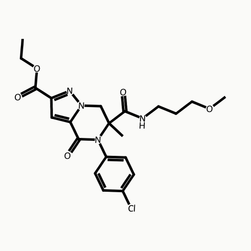 CCOC(=O)c1cc2n(n1)CC(C)(C(=O)NCCCOC)N(c1ccc(Cl)cc1)C2=O